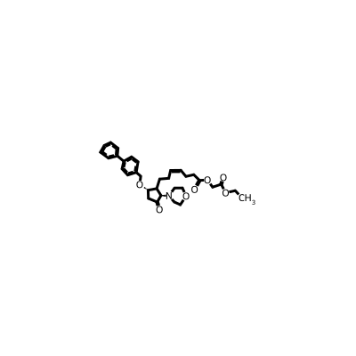 CCOC(=O)COC(=O)CC/C=C\CCC1[C@@H](OCc2ccc(-c3ccccc3)cc2)CC(=O)[C@@H]1N1CCOCC1